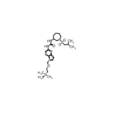 CC(C)CS(=O)(=O)N1CCCCC(NC(=O)Nc2cnc3c(ccn3COCC[Si](C)(C)C)n2)C1